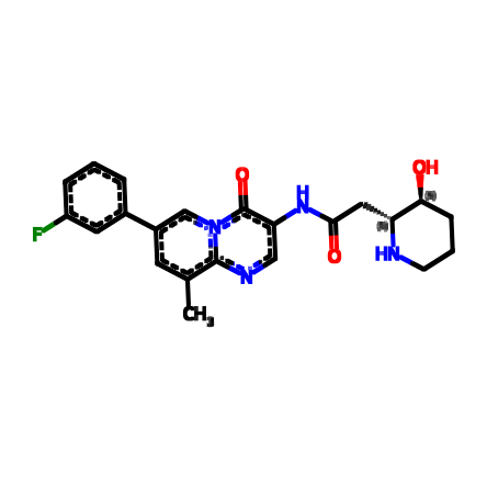 Cc1cc(-c2cccc(F)c2)cn2c(=O)c(NC(=O)C[C@H]3NCCC[C@@H]3O)cnc12